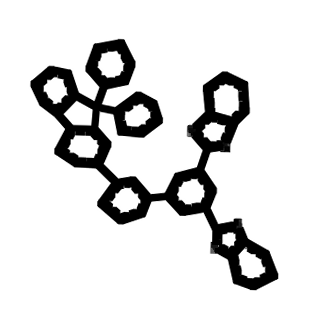 c1ccc(C2(c3ccccc3)c3ccccc3-c3ccc(-c4cccc(-c5cc(-c6nc7ccccc7s6)cc(-c6nc7ccccc7s6)c5)c4)cc32)cc1